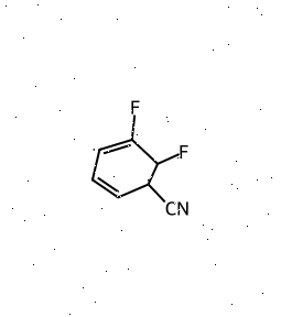 N#C[C]1C=C[C]=C(F)C1F